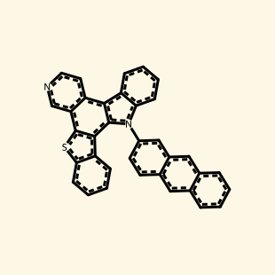 c1ccc2cc3cc(-n4c5ccccc5c5c6ccncc6c6sc7ccccc7c6c54)ccc3cc2c1